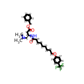 CN(C)C[C@@H](CC(=O)OCc1ccccc1)NC(=O)CCCCCCCCOc1ccc(C(F)(F)F)cc1